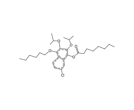 CCCCCCCC(=O)Oc1c(OC(C)C)c(OC(C)C)c(OCCCCCC)c2ccc(Cl)cc12